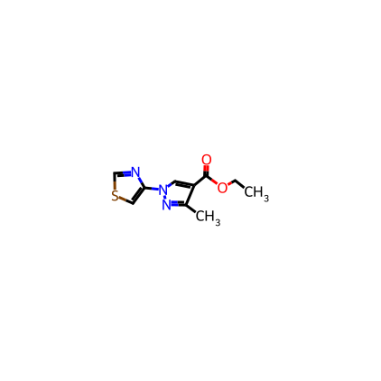 CCOC(=O)c1cn(-c2cscn2)nc1C